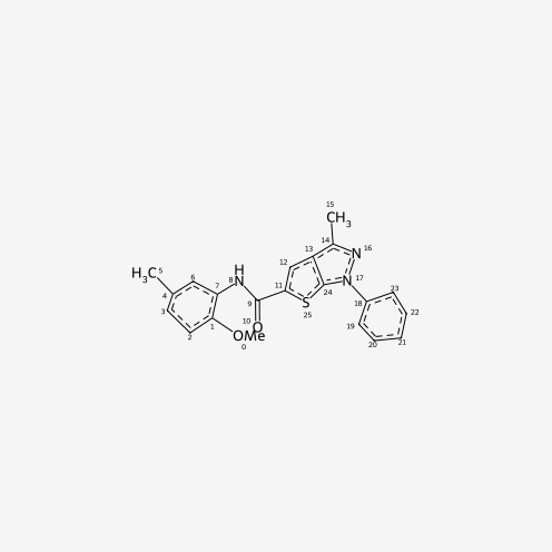 COc1ccc(C)cc1NC(=O)c1cc2c(C)nn(-c3ccccc3)c2s1